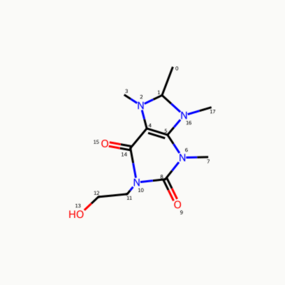 CC1N(C)c2c(n(C)c(=O)n(CCO)c2=O)N1C